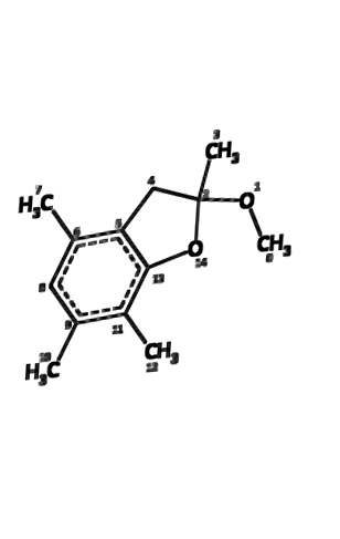 COC1(C)Cc2c(C)cc(C)c(C)c2O1